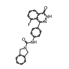 O=C(Nc1ccc(-c2n[nH]c(=O)c3cccc(F)c23)cc1)N1Cc2ccccc2C1